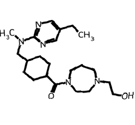 CCc1cnc(N(C)CC2CCC(C(=O)N3CCCN(CCO)CC3)CC2)nc1